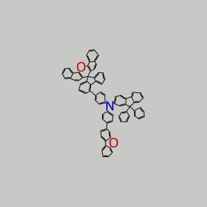 c1ccc(C2(c3ccccc3)c3ccccc3-c3ccc(N(c4ccc(-c5ccc6c(c5)oc5ccccc56)cc4)c4ccc(-c5cccc6c5-c5ccccc5C65c6ccc7ccccc7c6Oc6c5ccc5ccccc65)cc4)cc32)cc1